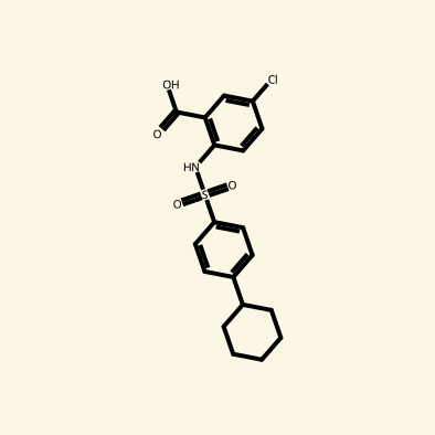 O=C(O)c1cc(Cl)ccc1NS(=O)(=O)c1ccc(C2CCCCC2)cc1